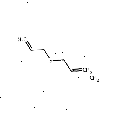 C.C=CCSCC=C